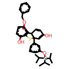 CC(=O)C1C=CC(O)=CC1(Sc1cc(OCc2ccccc2)ccc1O)c1cccc(O[Si](C(C)C)(C(C)C)C(C)C)c1